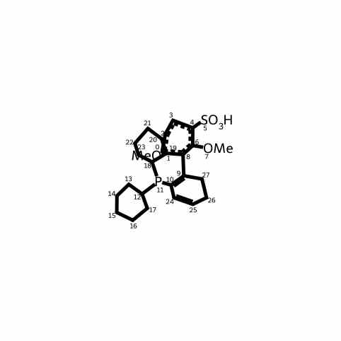 COc1ccc(S(=O)(=O)O)c(OC)c1C1=C(P(C2CCCCC2)C2CCCCC2)C=CCC1